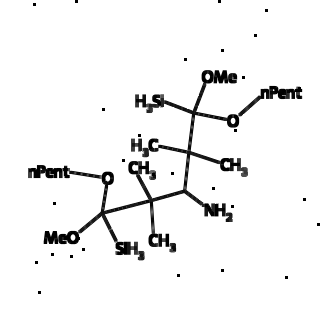 CCCCCOC([SiH3])(OC)C(C)(C)C(N)C(C)(C)C([SiH3])(OC)OCCCCC